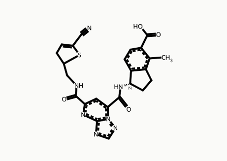 Cc1c(C(=O)O)ccc2c1CC[C@@H]2NC(=O)c1cc(C(=O)NCC2CC=C(C#N)S2)nc2ncnn12